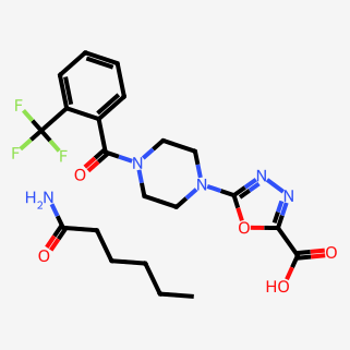 CCCCCC(N)=O.O=C(O)c1nnc(N2CCN(C(=O)c3ccccc3C(F)(F)F)CC2)o1